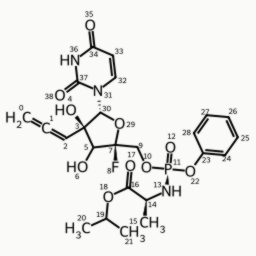 C=C=C[C@@]1(O)C(O)[C@@](F)(CO[P@@](=O)(N[C@@H](C)C(=O)OC(C)C)Oc2ccccc2)O[C@H]1n1ccc(=O)[nH]c1=O